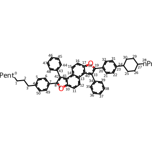 CCCC(C)CCCc1ccc(-c2oc3ccc4c(ccc5oc(-c6ccc(C7CCC(CCC)CC7)cc6)c(-c6ccccc6)c54)c3c2-c2ccccc2)cc1